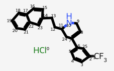 Cl.FC(F)(F)c1cccc(C2=CCNC(CCc3ccc4ccccc4c3)C2)c1